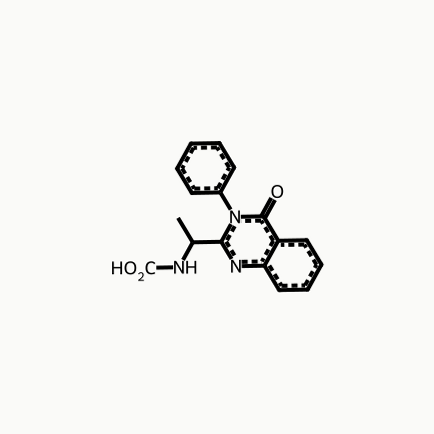 CC(NC(=O)O)c1nc2ccccc2c(=O)n1-c1ccccc1